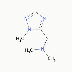 CN(C)Cc1n[c]nn1C